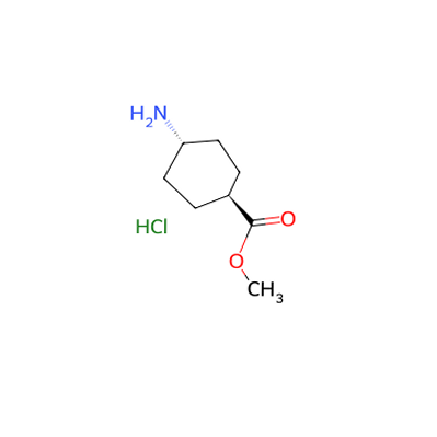 COC(=O)[C@H]1CC[C@H](N)CC1.Cl